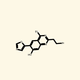 CCc1nc(CCC(C)C)nc2cc(O)c(-c3cnco3)cc12